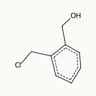 OCc1ccccc1CCl